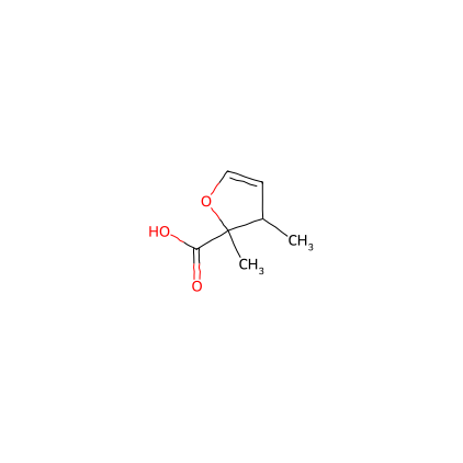 CC1C=COC1(C)C(=O)O